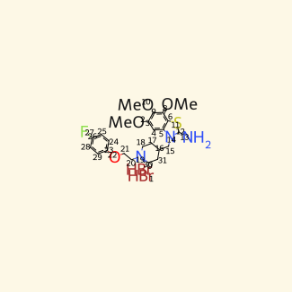 Br.Br.COc1cc2c(c(OC)c1OC)SC(N)N2CC1CCN(CCOc2ccc(F)cc2)CC1